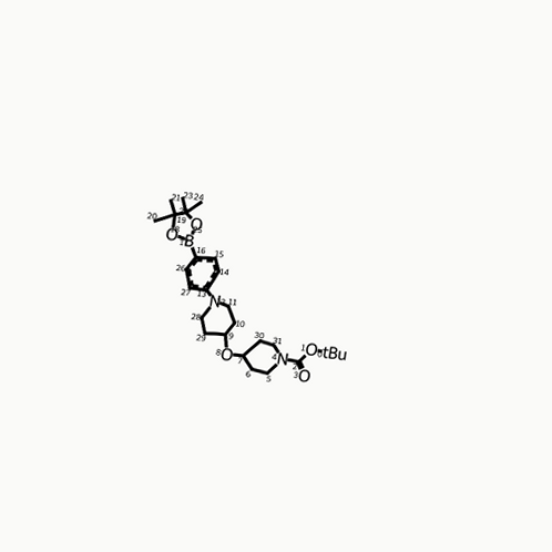 CC(C)(C)OC(=O)N1CCC(OC2CCN(c3ccc(B4OC(C)(C)C(C)(C)O4)cc3)CC2)CC1